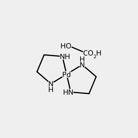 C1C[NH][Pd]2([NH]1)[NH]CC[NH]2.O=C(O)O